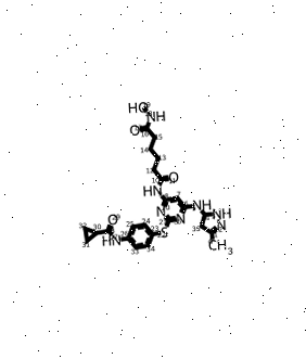 CC1=NNC(Nc2cc(NC(=O)CCCCC(=O)NO)nc(Sc3ccc(NC(=O)C4CC4)cc3)n2)C1